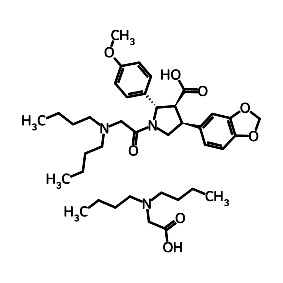 CCCCN(CCCC)CC(=O)N1C[C@H](c2ccc3c(c2)OCO3)[C@H](C(=O)O)[C@H]1c1ccc(OC)cc1.CCCCN(CCCC)CC(=O)O